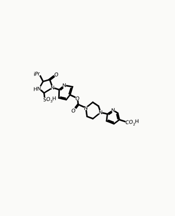 CC(C)C1NC(S(=O)(=O)O)N(c2ccc(OC(=O)N3CCN(c4ccc(C(=O)O)cn4)CC3)cn2)C1=O